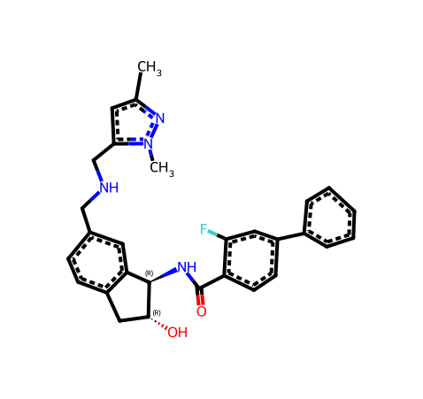 Cc1cc(CNCc2ccc3c(c2)[C@@H](NC(=O)c2ccc(-c4ccccc4)cc2F)[C@H](O)C3)n(C)n1